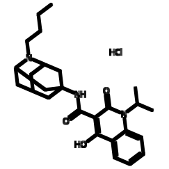 CCCCN1C2CC3CC1CC(NC(=O)c1c(O)c4ccccc4n(C(C)C)c1=O)(C3)C2.Cl